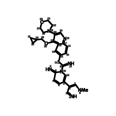 CN/C=C(\C=N)c1ccc(=N)n(C(=N)Sc2ccc3ncc(N4CCOCC4)c(OCC4CC4)c3c2)c1